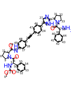 COC(=O)N[C@@H](C(=O)N1CCC[C@H]1C(=O)Nc1ccc(C#Cc2ccc(-c3cnc([C@@H]4CCCN4C(=O)[C@H](N)c4ccccc4)[nH]3)cc2)cc1)c1ccccc1